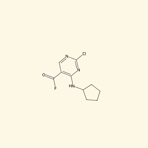 O=C(F)c1cnc(Cl)nc1NC1CCCC1